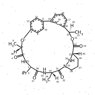 CC(C)C1NC(=O)[C@H](C)Oc2ccc(cc2)-c2cccc(c2)[C@@H](C)OC(=O)[C@@H]2CCCN(N2)C(=O)[C@H](C)NC1=O